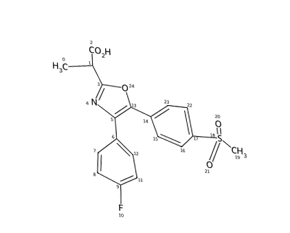 CC(C(=O)O)c1nc(-c2ccc(F)cc2)c(-c2ccc(S(C)(=O)=O)cc2)o1